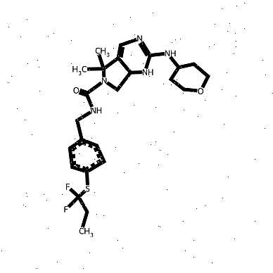 CCC(F)(F)Sc1ccc(CNC(=O)N2CC3NC(NC4CCOCC4)=NC=C3C2(C)C)cc1